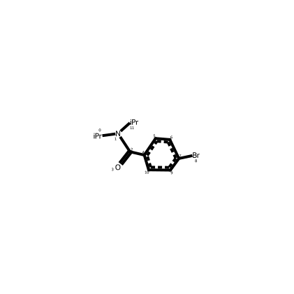 CC(C)N(C(=O)c1ccc(Br)cc1)C(C)C